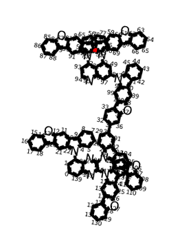 c1cc(-n2c3ccccc3c3cc4oc5ccccc5c4cc32)c2nc(-n3c4ccc(-c5ccc6c(c5)oc5cc7c8ccccc8n(-c8cc(-n9c%10ccccc%10c%10cc%11oc%12ccccc%12c%11cc%109)c9c(-n%10c%11ccccc%11c%11cc%12oc%13ccccc%13c%12cc%11%10)ccnc9c8)c7cc56)cc4c4cc5oc6ccccc6c5cc43)c(-n3c4ccccc4c4cc5oc6ccccc6c5cc43)nc2c1